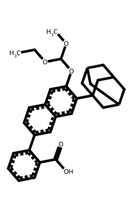 CCOC(OC)Oc1cc2ccc(-c3ccccc3C(=O)O)cc2cc1C12CC3CC(CC(C3)C1)C2